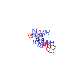 CN1CC(=O)N(C[C@@H]2NC(=N)N3C[C@H](NC(=O)c4cccc5c4OCCC5(C)C)C(O)(O)[C@@]34NC(=N)N[C@@H]24)C1=O